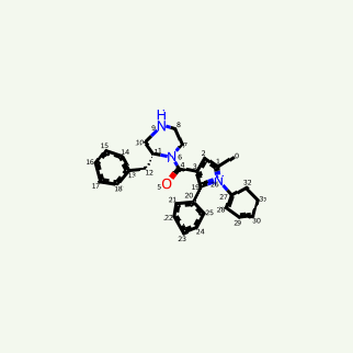 Cc1cc(C(=O)N2CCNC[C@H]2Cc2ccccc2)c(-c2ccccc2)n1C1=CC=CCC1